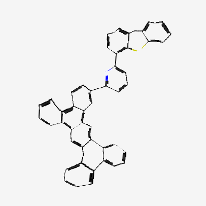 c1cc(-c2ccc3c4ccccc4c4cc5c6ccccc6c6ccccc6c5cc4c3c2)nc(-c2cccc3c2sc2ccccc23)c1